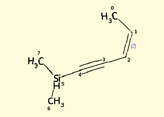 C/C=C\C#C[SiH](C)C